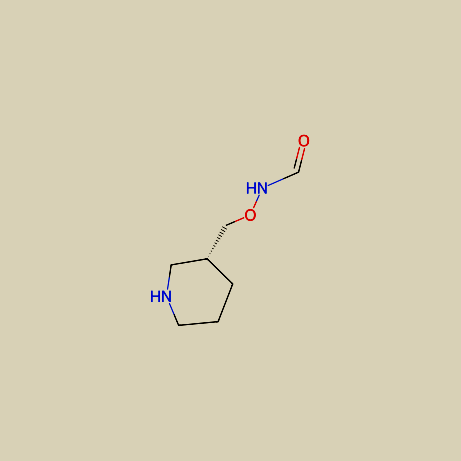 O=CNOC[C@@H]1CCCNC1